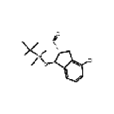 CC(C)(C)[Si](C)(C)O[C@@H]1c2cccc(Cl)c2C[C@H]1C=O